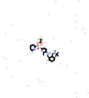 Cc1nc(S(=O)(=O)N(OC(=O)C(F)(F)F)c2cccc(F)n2)ccc1NCc1c(F)cccc1CN(C)C(C)(C)C